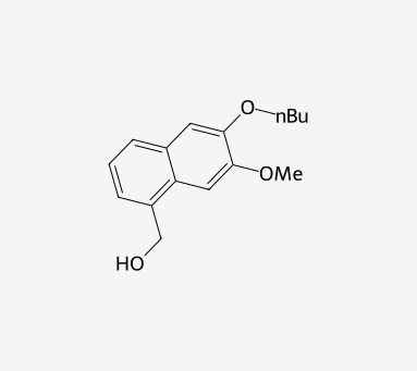 CCCCOc1cc2cccc(CO)c2cc1OC